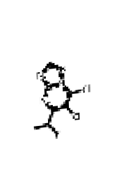 CC(F)c1nc2ncnn2c(Cl)c1Cl